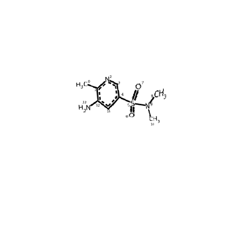 Cc1ncc(S(=O)(=O)N(C)C)cc1N